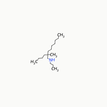 CCCCCCCC(C)(CCCC)CNCCC